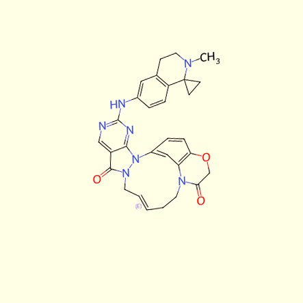 CN1CCc2cc(Nc3ncc4c(=O)n5n(c4n3)-c3ccc4c(c3)N(CC/C=C/C5)C(=O)CO4)ccc2C12CC2